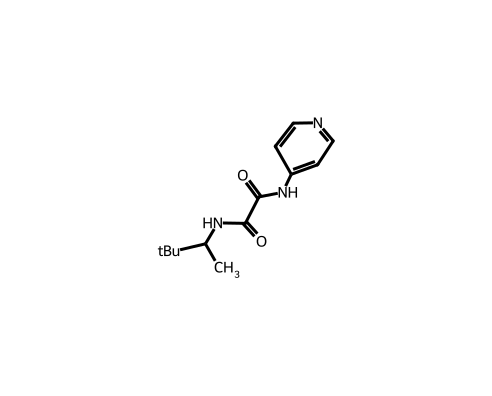 CC(NC(=O)C(=O)Nc1ccncc1)C(C)(C)C